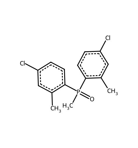 Cc1cc(Cl)ccc1P(C)(=O)c1ccc(Cl)cc1C